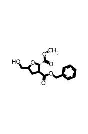 COC(=O)[C@H]1OC(CO)CC1C(=O)OCc1ccccc1